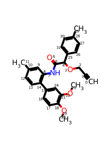 C#CCOC(C(=O)Nc1cc(C)ccc1-c1ccc(OC)c(OC)c1)c1ccc(C)cc1